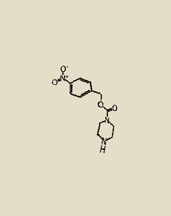 O=C(OCc1ccc([N+](=O)[O-])cc1)N1CCNCC1